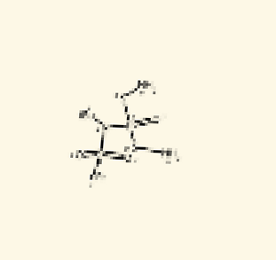 CCCS(=O)(=O)N(C(C)(C)C)P(=O)(SN)SN